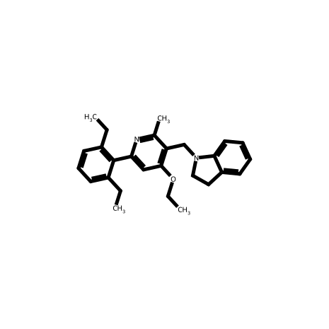 CCOc1cc(-c2c(CC)cccc2CC)nc(C)c1CN1CCc2ccccc21